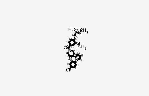 COc1cc(C(=O)N2CCC3(CC2)Oc2cc(Cl)ccc2-n2cccc23)ccc1OC[C@H](C)OC